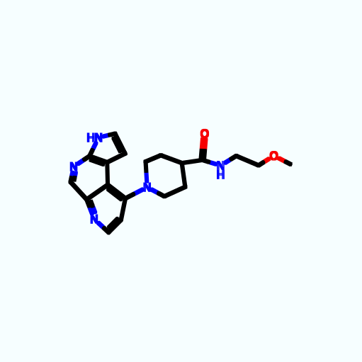 COCCNC(=O)C1CCN(c2ccnc3cnc4[nH]ccc4c23)CC1